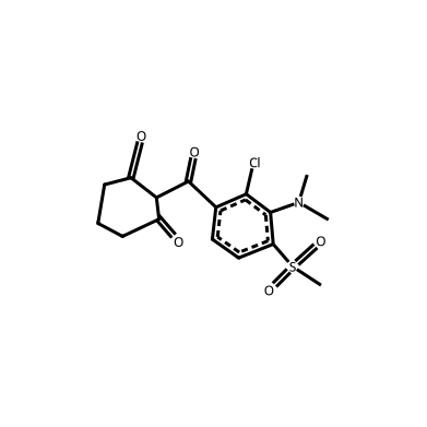 CN(C)c1c(S(C)(=O)=O)ccc(C(=O)C2C(=O)CCCC2=O)c1Cl